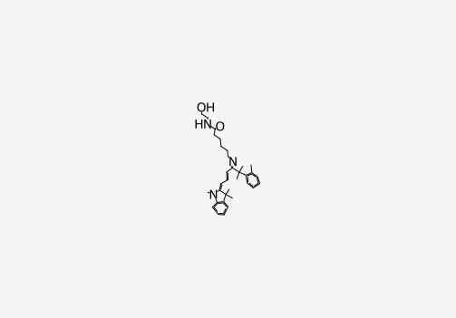 Cc1ccccc1C(C)(C)C(/C=C/C=C1/N(C)c2ccccc2C1(C)C)=N/CCCCCC(=O)NCCO